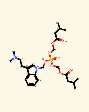 CC(C)CC(=O)OCOP(=O)(OCOC(=O)CC(C)C)OCn1cc(CCN(C)C)c2ccccc21